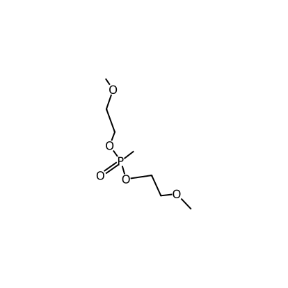 COCCOP(C)(=O)OCCOC